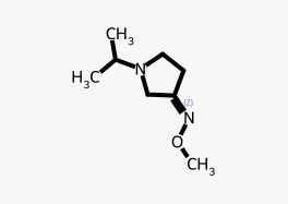 CO/N=C1/CCN(C(C)C)C1